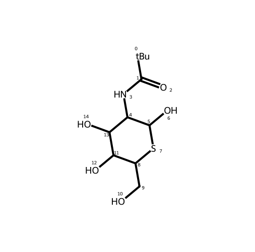 CC(C)(C)C(=O)NC1C(O)SC(CO)C(O)C1O